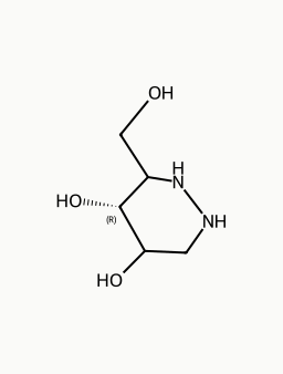 OCC1NNCC(O)[C@@H]1O